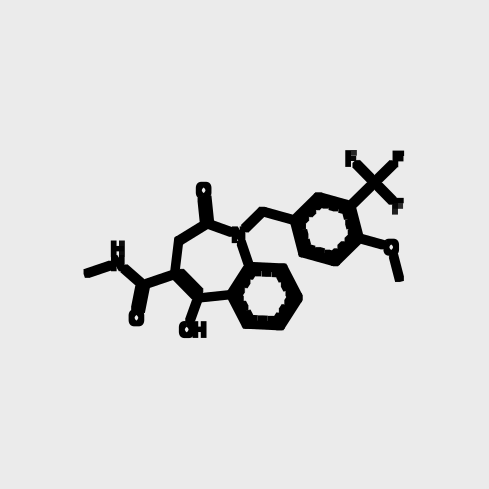 CNC(=O)C1=C(O)c2ccccc2N(Cc2ccc(OC)c(C(F)(F)F)c2)C(=O)C1